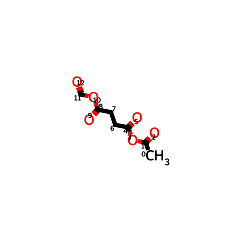 CC(=O)OC(=O)CCC(=O)OC=O